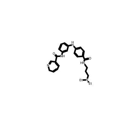 CCN(CC)CCCNC(=O)c1ccc(Nc2cccc(NC(=O)C3=CC=CCN=C3)c2)cc1